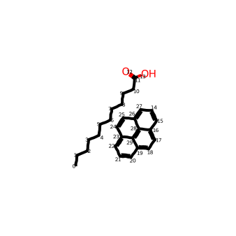 CCCCCCCCCCCC(=O)O.c1cc2ccc3cccc4ccc(c1)c2c34